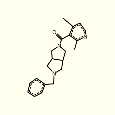 Cc1ccnc(C)c1C(=O)N1CC2CN(Cc3ccccc3)CC2C1